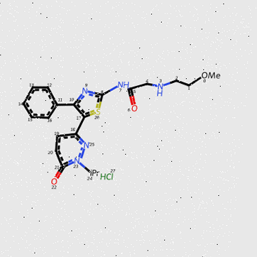 COCCNCC(=O)Nc1nc(-c2ccccc2)c(-c2ccc(=O)n(C(C)C)n2)s1.Cl